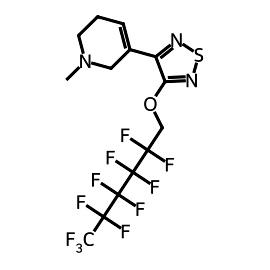 CN1CCC=C(c2nsnc2OCC(F)(F)C(F)(F)C(F)(F)C(F)(F)C(F)(F)F)C1